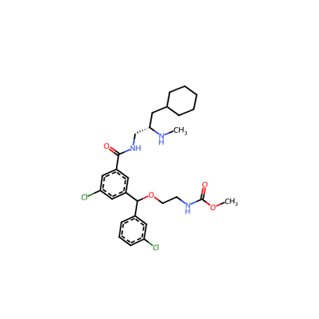 CN[C@H](CNC(=O)c1cc(Cl)cc(C(OCCNC(=O)OC)c2cccc(Cl)c2)c1)CC1CCCCC1